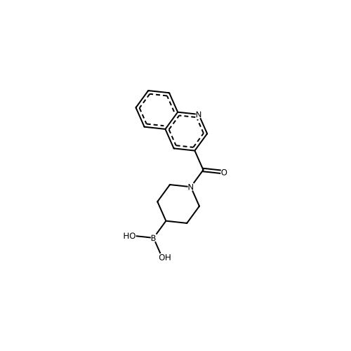 O=C(c1cnc2ccccc2c1)N1CCC(B(O)O)CC1